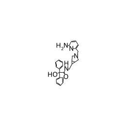 Nc1cccc(CN2CC3C(CNC(=O)C(O)(c4ccccc4)c4ccccc4)C3C2)n1